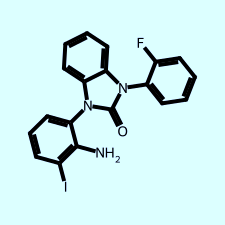 Nc1c(I)cccc1-n1c(=O)n(-c2ccccc2F)c2ccccc21